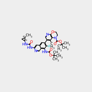 Cc1c(-c2cc3cc(NC(=O)N[C@H]4C[C@H]4C)ncc3c(NC(=O)OC(C)(C)C)c2F)cnc2c1N(C(=O)OC(C)(C)C)CCO2